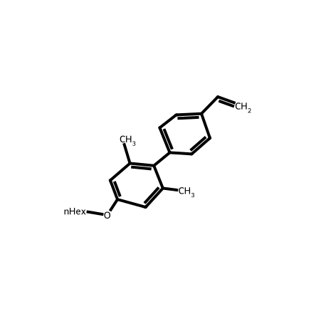 C=Cc1ccc(-c2c(C)cc(OCCCCCC)cc2C)cc1